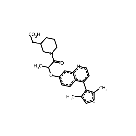 Cc1csc(C)c1-c1ccnc2cc(OC(C)C(=O)N3CCC[C@H](CC(=O)O)C3)ccc12